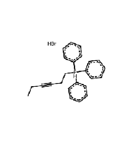 Br.CCC#CCC[PH](c1ccccc1)(c1ccccc1)c1ccccc1